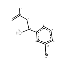 C=C(C)CC(O)c1cccc(Br)c1